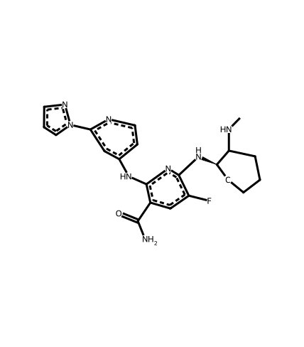 CNC1CCCC[C@H]1Nc1nc(Nc2ccnc(-n3cccn3)c2)c(C(N)=O)cc1F